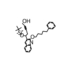 CC(C)(C)[Si](C)(C)OC(CC#CCO)c1cc2ccccc2nc1OCCCCCc1ccccc1